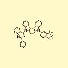 CC1(C)c2ccc(-n3c4c(c5c6c7ccccc7n(-c7nc(-c8ccccc8)nc8ccccc78)c6ccc53)C=CCC4)cc2C(C)(C)C1(C)C